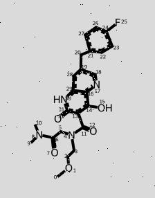 COCCN(CC(=O)N(C)C)C(=O)c1c(O)c2ncc(Cc3ccc(F)cc3)cc2[nH]c1=O